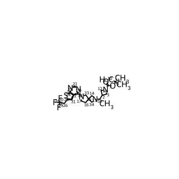 C[C@@H](C1CN(C(=O)OC(C)(C)C)C1)N1CC2(CCN(c3ncnc4sc(CC(F)(F)F)cc34)C2)C1